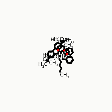 [CH2]=[Hf]([CH2]CCCCC)([CH2]c1ccccc1)([CH2]c1ccccc1)([c]1ccc(C(C)C)cc1)([CH]1C=CC=C1)[CH]1c2cc(C(C)(C)C)ccc2-c2ccc(C(C)(C)C)cc21